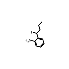 CCCC(F)c1ccccc1N